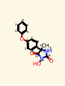 CC1(c2ccc(Oc3ccccc3)cc2)NC(=O)N(O)C1=O